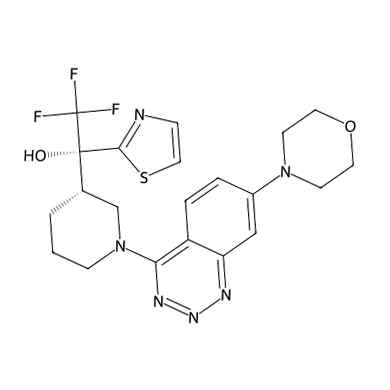 O[C@](c1nccs1)([C@H]1CCCN(c2nnnc3cc(N4CCOCC4)ccc23)C1)C(F)(F)F